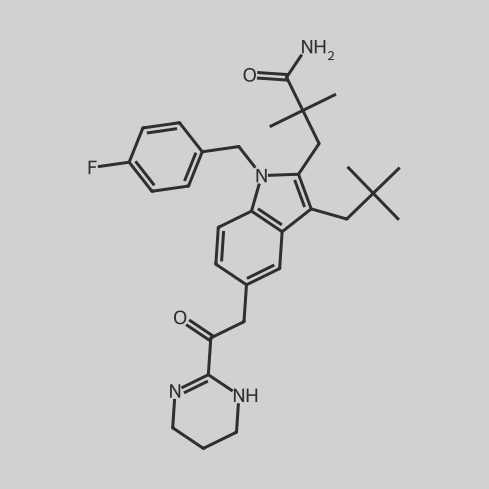 CC(C)(C)Cc1c(CC(C)(C)C(N)=O)n(Cc2ccc(F)cc2)c2ccc(CC(=O)C3=NCCCN3)cc12